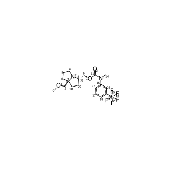 COC[C@@]12CCCN1[C@H](COC(=O)N(C)c1cccc(S(F)(F)(F)(F)F)c1)CC2